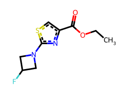 CCOC(=O)c1csc(N2CC(F)C2)n1